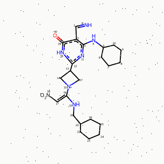 N=Cc1c(NC2CCCCC2)nc(C2CN(/C(=C\[N+](=O)[O-])NCC3CCCCC3)C2)[nH]c1=O